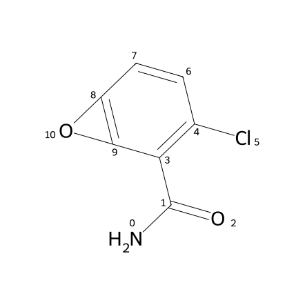 NC(=O)c1c(Cl)ccc2c1O2